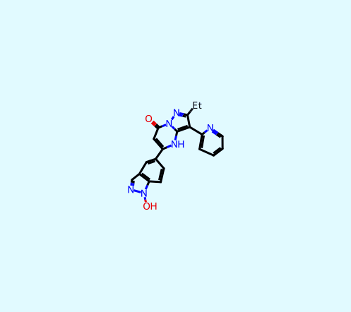 CCc1nn2c(=O)cc(-c3ccc4c(cnn4O)c3)[nH]c2c1-c1ccccn1